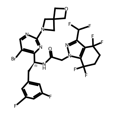 O=C(Cn1nc(C(F)F)c2c1C(F)(F)CCC2(F)F)N[C@@H](Cc1cc(F)cc(F)c1)c1nc(N2CC3(COC3)C2)ncc1Br